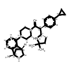 CC1(C)CC[C@@H]([C@@H](C(=O)N2CCN(c3ncnc4c3[C@@H]3CO[C@H]4C3)CC2)c2ccc(C3CC3)cc2)N1